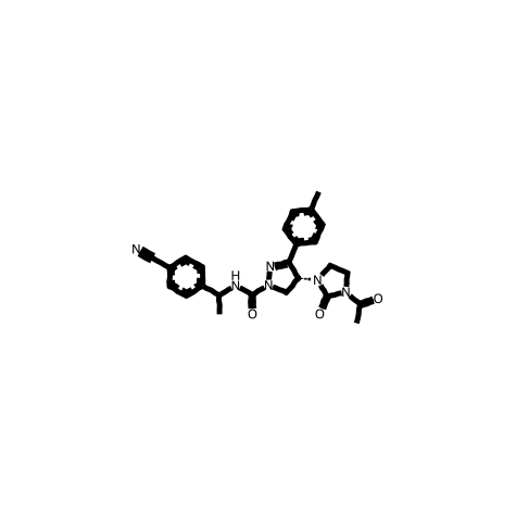 CC(=O)N1CCN([C@@H]2CN(C(=O)NC(C)c3ccc(C#N)cc3)N=C2c2ccc(C)cc2)C1=O